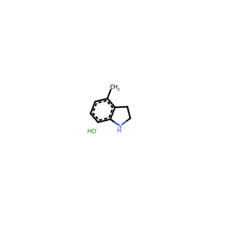 Cc1cccc2c1CCN2.Cl